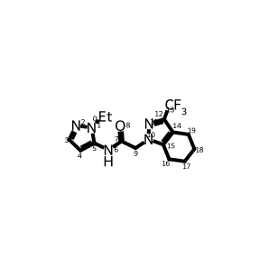 CCn1nccc1NC(=O)Cn1nc(C(F)(F)F)c2c1CCCC2